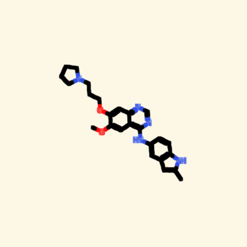 COc1cc2c(Nc3ccc4[nH]c(C)cc4c3)ncnc2cc1OCCCN1CCCC1